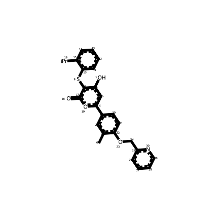 Cc1cc(-c2cc(O)c(Sc3ccccc3C(C)C)c(=O)o2)ccc1OCc1ccccn1